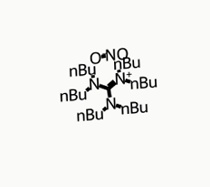 CCCCN(CCCC)C(N(CCCC)CCCC)=[N+](CCCC)CCCC.O=N[O-]